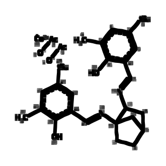 CC(=O)[O-].CC(=O)[O-].Cc1cc(C(C)(C)C)cc(C=NC2CC3CCC2(N=Cc2cc(C(C)(C)C)cc(C)c2O)C3)c1O.[Co+2]